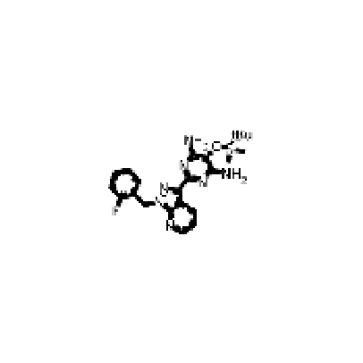 CC(C)(C)[Si](C)(C)Oc1c(N)nc(-c2nn(Cc3ccccc3F)c3ncccc23)nc1N